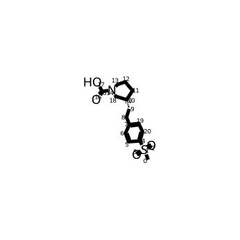 CS(=O)(=O)c1ccc(CC[C@H]2CCCN(C(=O)O)C2)cc1